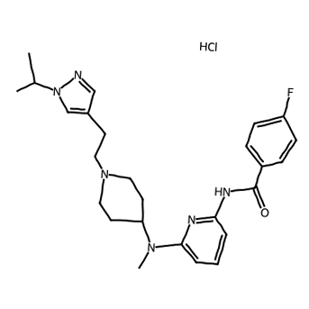 CC(C)n1cc(CCN2CCC(N(C)c3cccc(NC(=O)c4ccc(F)cc4)n3)CC2)cn1.Cl